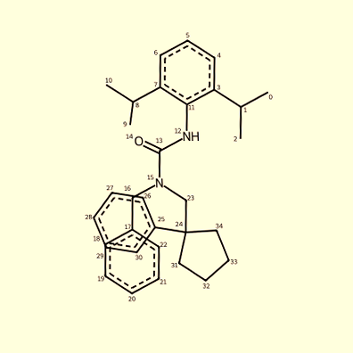 CC(C)c1cccc(C(C)C)c1NC(=O)N(Cc1ccccc1)CC1(c2ccccc2)CCCC1